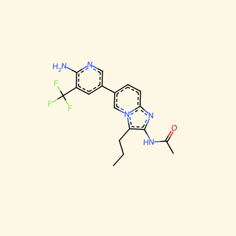 CCCc1c(NC(C)=O)nc2ccc(-c3cnc(N)c(C(F)(F)F)c3)cn12